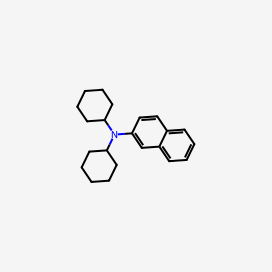 c1ccc2cc(N(C3CCCCC3)C3CCCCC3)ccc2c1